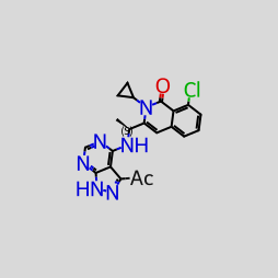 CC(=O)c1n[nH]c2ncnc(N[C@@H](C)c3cc4cccc(Cl)c4c(=O)n3C3CC3)c12